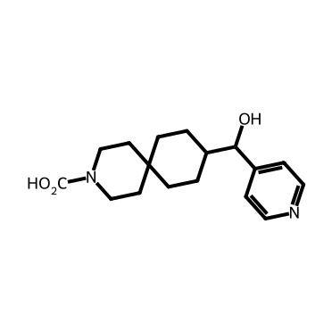 O=C(O)N1CCC2(CCC(C(O)c3ccncc3)CC2)CC1